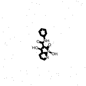 O=C(Nc1ccccc1)c1c(O)c2cccnc2n(O)c1=O